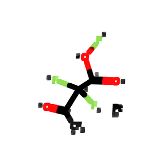 O=C(OF)C(F)(F)C(=O)C(F)(F)F.[Pt]